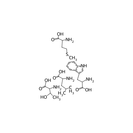 CC(C)CC(N)C(=O)O.CC(O)C(N)C(=O)O.CSCCC(N)C(=O)O.NC(Cc1c[nH]c2ccccc12)C(=O)O